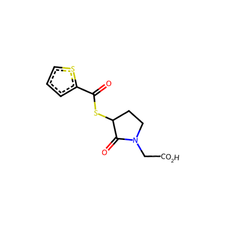 O=C(O)CN1CCC(SC(=O)c2cccs2)C1=O